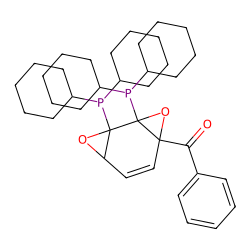 O=C(c1ccccc1)C12C=CC3OC3(P(C3CCCCC3)C3CCCCC3)C1(P(C1CCCCC1)C1CCCCC1)O2